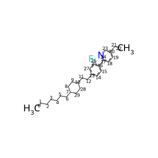 CCCCCCCC1CCC(CCc2ccc(-c3ccc(CC)cn3)c(F)c2)CC1